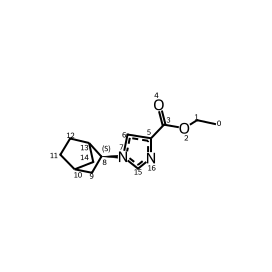 CCOC(=O)c1cn([C@H]2CC3CCC2C3)cn1